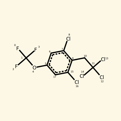 FC(F)(F)Oc1cc(Cl)c(CC(Cl)(Cl)Cl)c(Cl)c1